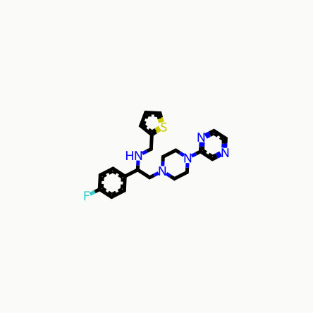 Fc1ccc(C(CN2CCN(c3cnccn3)CC2)NCc2cccs2)cc1